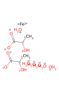 CC(O)C(=O)[O-].CC(O)C(=O)[O-].O.O.O.O.O.O.[Fe+2]